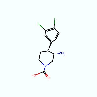 N[C@@H]1CN(C(=O)O)CC[C@H]1c1ccc(F)c(F)c1